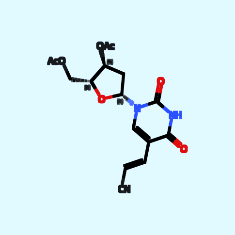 CC(=O)OC[C@H]1O[C@@H](n2cc(C=CC#N)c(=O)[nH]c2=O)C[C@@H]1OC(C)=O